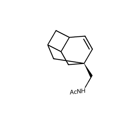 CC(=O)NC[C@]12C=CC3CC(C1)C3C2